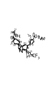 COC(=O)c1ccc(-c2cc(NCCC(F)(F)F)c3ncn(-c4ccc(C(=O)NC5CC5)c(C)c4)c3c2)cc1C